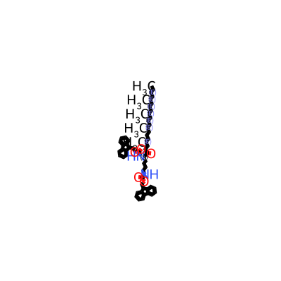 C/C=C/C=C(C)/C=C/C=C(C)/C=C/C=C(\C)CC/C=C(\C)CCC(=O)[C@H](CCCCNC(=O)OCC1c2ccccc2-c2ccccc21)NC(=O)OCC1c2ccccc2-c2ccccc21